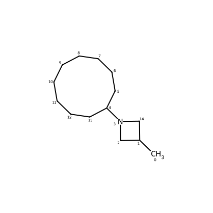 CC1CN(C2CCCCCCCCC2)C1